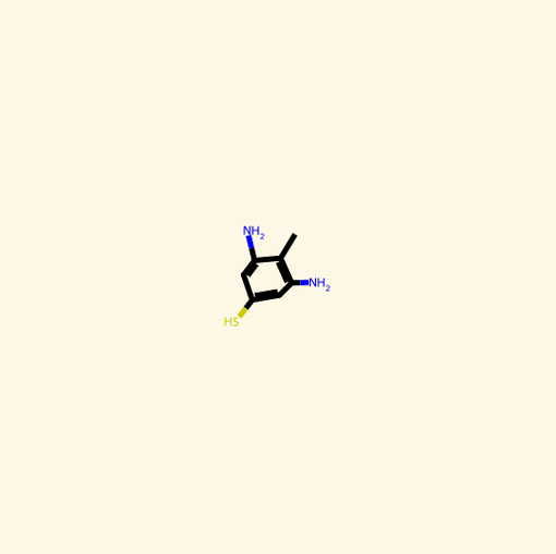 Cc1c(N)cc(S)cc1N